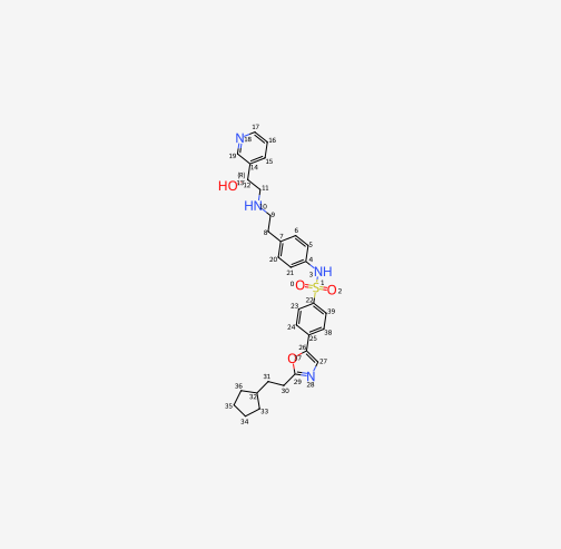 O=S(=O)(Nc1ccc(CCNC[C@H](O)c2cccnc2)cc1)c1ccc(-c2cnc(CCC3CCCC3)o2)cc1